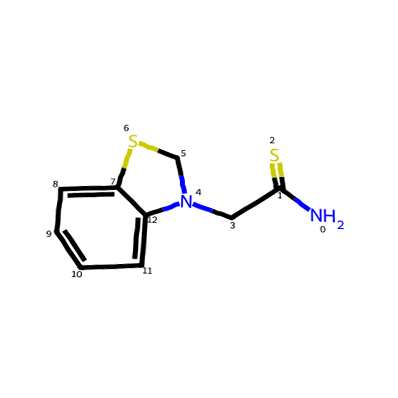 NC(=S)CN1CSc2ccccc21